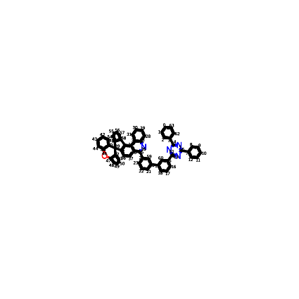 c1ccc(-c2nc(-c3ccccc3)nc(-c3cccc(-c4cccc(-c5nc6ccccc6c6c7c(ccc56)C5(c6ccccc6Oc6ccccc65)c5ccccc5-7)c4)c3)n2)cc1